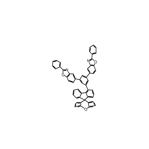 c1ccc(-c2nc3cc(-c4cc(-c5ccc6oc(-c7ccccc7)nc6c5)cc(-c5cccc6c5-c5ccccc5C65c6ccccc6Oc6ccccc65)c4)ccc3o2)cc1